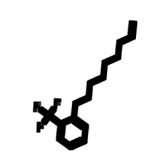 C=CCCCCCCCc1ccccc1C(F)(F)F